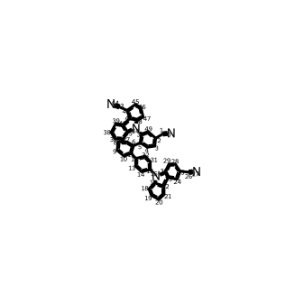 N#Cc1ccc(-c2ccccc2-c2ccc(-n3c4ccccc4c4cc(C#N)ccc43)cc2)c(-n2c3ccccc3c3c(C#N)cccc32)c1